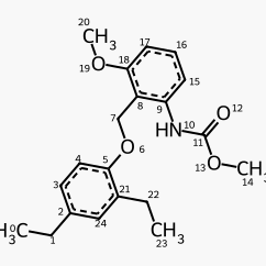 CCc1ccc(OCc2c(NC(=O)OC)cccc2OC)c(CC)c1